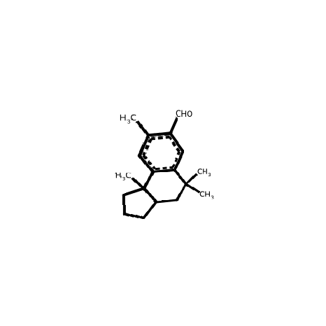 Cc1cc2c(cc1C=O)C(C)(C)CC1CCCC21C